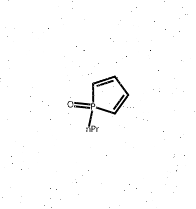 CCCP1(=O)C=CC=C1